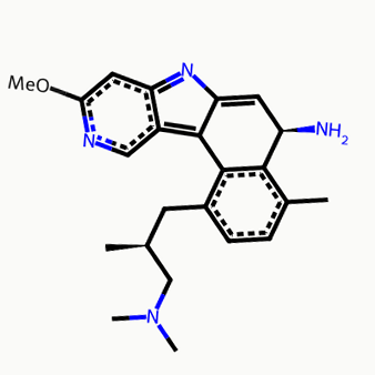 COc1cc2c(cn1)=C1C(=C[C@@H](N)c3c(C)ccc(C[C@H](C)CN(C)C)c31)N=2